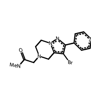 CNC(=O)CN1CCn2nc(-c3ccncc3)c(Br)c2C1